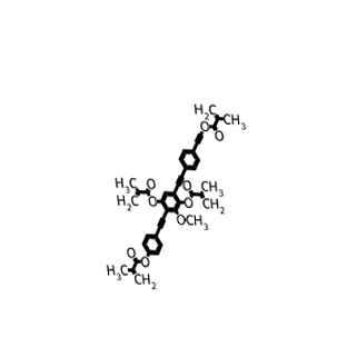 C=C(C)C(=O)OC#Cc1ccc(C#Cc2cc(OC(=O)C(=C)C)c(C#Cc3ccc(OC(=O)C(=C)C)cc3)c(OC)c2OC(=O)C(=C)C)cc1